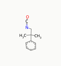 CC(C)(CN=C=O)c1ccccc1